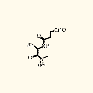 CCCN(C)C(=O)C(NC(=O)CCC=O)C(C)C